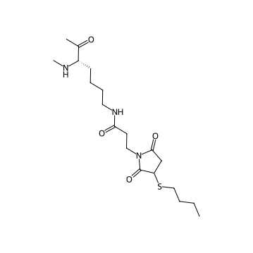 CCCCSC1CC(=O)N(CCC(=O)NCCCC[C@H](NC)C(C)=O)C1=O